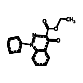 CCOC(=O)c1nn(-c2ccccc2)c2ccccc2c1=O